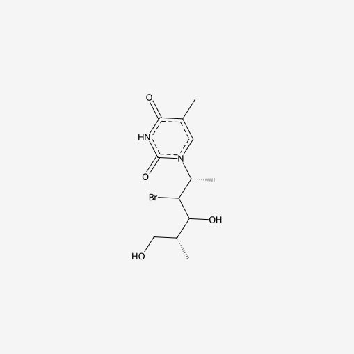 Cc1cn([C@H](C)C(Br)C(O)[C@H](C)CO)c(=O)[nH]c1=O